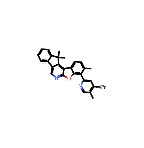 Cc1cnc(-c2c(C)ccc3c2oc2ncc4c(c23)C(C)(C)c2ccccc2-4)cc1C(C)C